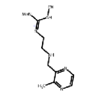 CN/C(=N/CCNCc1nccnc1C)NC#N